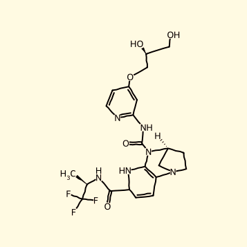 C[C@@H](NC(=O)C1C=CC2=C(N1)N(C(=O)Nc1cc(OC[C@@H](O)CO)ccn1)[C@H]1CCN2C1)C(F)(F)F